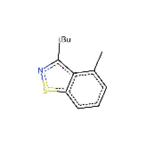 Cc1cccc2snc(C(C)(C)C)c12